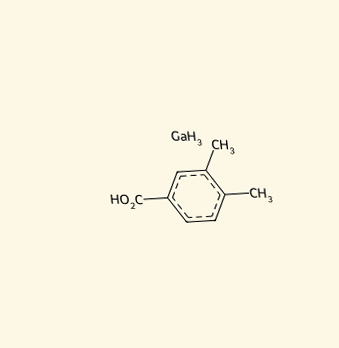 Cc1ccc(C(=O)O)cc1C.[GaH3]